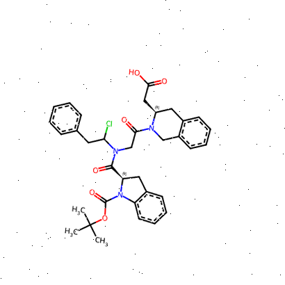 CC(C)(C)OC(=O)N1c2ccccc2C[C@@H]1C(=O)N(CC(=O)N1Cc2ccccc2C[C@@H]1CC(=O)O)C(Cl)Cc1ccccc1